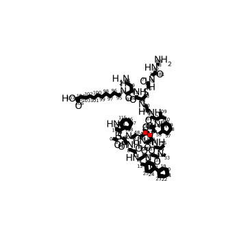 C/C(O)=S(/CC(=O)NCC(=O)N[C@@H](Cc1ccc(-c2ccccc2)cc1)C(=O)NCC(=O)N(C)C(C)C(=O)NC(CC(C)C)C(=O)N[C@@H](CCN)C(=O)N[C@@H](CC1CCCCC1)C(=O)NC(C(=O)NCCNC(CSCC(=O)NCC(=O)NCN)C(=O)NC(CCN)C(=O)NCCCCCCCCCCC(=O)O)C(C)C)c1c[nH]c2ccccc12